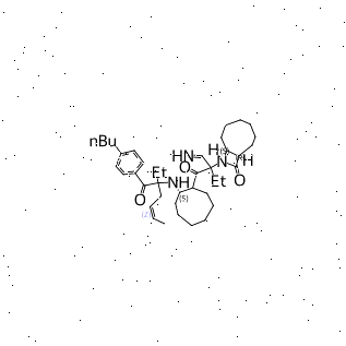 C/C=C\CC(CC)(N[C@H]1CCCCCCC1C(=O)C(C=N)(CC)N1C(=O)[C@@H]2CCCCCC[C@@H]21)C(=O)c1ccc(CCCC)cc1